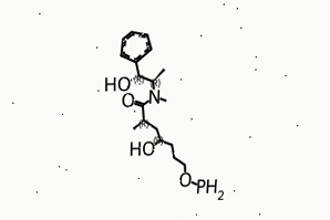 C[C@H](C[C@H](O)CCCOP)C(=O)N(C)[C@H](C)[C@H](O)c1ccccc1